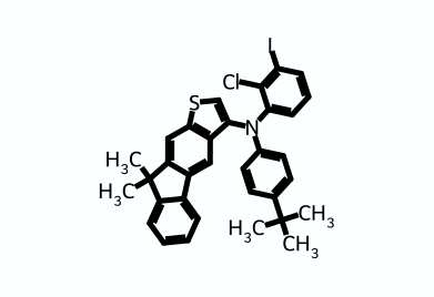 CC(C)(C)c1ccc(N(c2cccc(I)c2Cl)c2csc3cc4c(cc23)-c2ccccc2C4(C)C)cc1